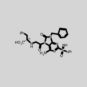 CCCS(=N)(=O)c1nc(N)c2c(n1)n(Cc1ccccc1)c(=O)n2C(=O)CN[C@@H](CC(C)C)C(=O)O